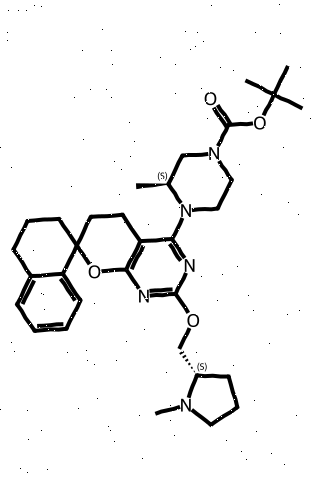 C[C@H]1CN(C(=O)OC(C)(C)C)CCN1c1nc(OC[C@@H]2CCCN2C)nc2c1CCC1(CCCc3ccccc31)O2